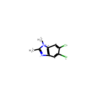 Cc1nc2cc(Br)c(Cl)cc2n1C